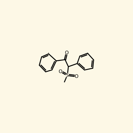 CS(=O)(=O)C(C(=O)c1[c]cccc1)c1ccccc1